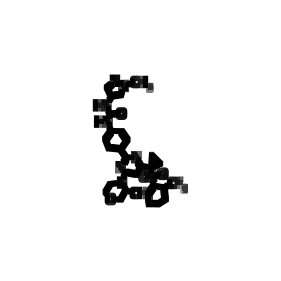 C[C@H]1COCCN1c1cc(C2(S(=O)(=O)c3ccccc3C(F)(F)F)CC2)nc(-c2ccc(NC(=O)Nc3cnn(C)c3)cc2)n1